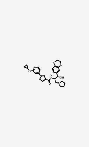 O=C(N[C@H](CN1CCCC1)[C@H](O)c1ccc2c(c1)OCCO2)[C@H]1CCN(c2ccnc(OC3CC3)c2)C1